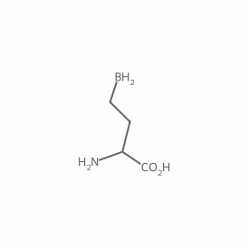 BCCC(N)C(=O)O